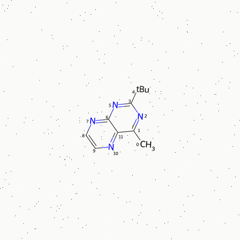 Cc1nc(C(C)(C)C)nc2nccnc12